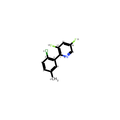 Cc1ccc(Cl)c(-c2ncc(F)cc2F)c1